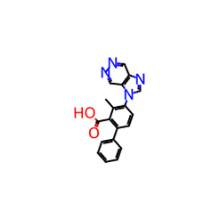 Cc1c(-n2cnc3cnncc32)ccc(-c2ccccc2)c1C(=O)O